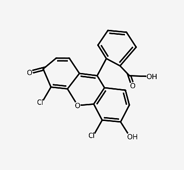 O=C(O)c1ccccc1-c1c2ccc(=O)c(Cl)c-2oc2c(Cl)c(O)ccc12